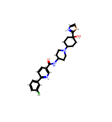 O=C(NC1CCN(C2CCC(O)(c3nccs3)CC2)CC1)c1ccc(-c2cccc(F)c2)nc1